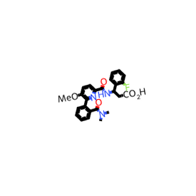 COc1ccc(C(=O)NC(CC(=O)O)c2ccccc2F)nc1-c1ccccc1C(=O)N(C)C